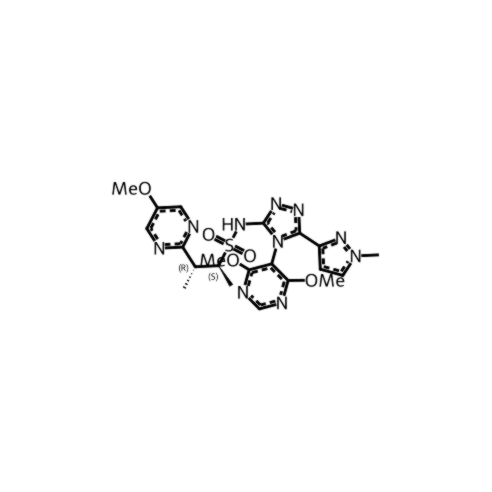 COc1cnc([C@@H](C)[C@H](C)S(=O)(=O)Nc2nnc(-c3ccn(C)n3)n2-c2c(OC)ncnc2OC)nc1